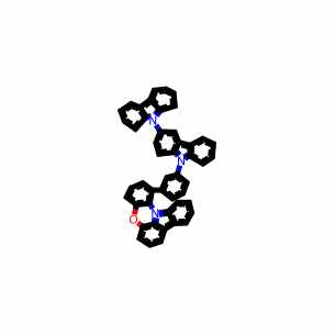 c1cc(-c2cccc3c2-n2c4ccccc4c4cccc(c42)O3)cc(-n2c3ccccc3c3cc(-n4c5ccccc5c5ccccc54)ccc32)c1